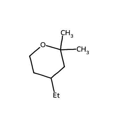 CCC1CCOC(C)(C)C1